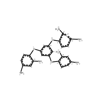 Nc1ccc(Oc2cc(Oc3ccc(N)cc3N)cc(Oc3ccc(N)cc3N)c2)c(N)c1